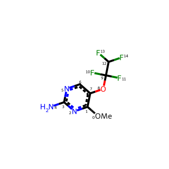 COc1nc(N)ncc1OC(F)(F)C(F)F